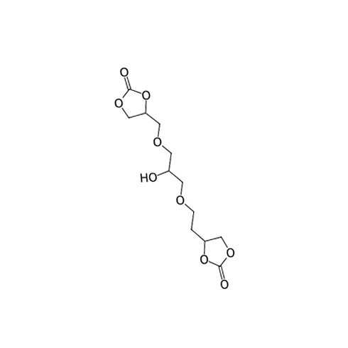 O=C1OCC(CCOCC(O)COCC2COC(=O)O2)O1